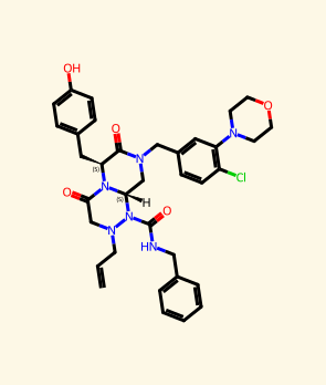 C=CCN1CC(=O)N2[C@@H](Cc3ccc(O)cc3)C(=O)N(Cc3ccc(Cl)c(N4CCOCC4)c3)C[C@@H]2N1C(=O)NCc1ccccc1